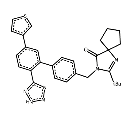 CCCCC1=NC2(CCCC2)C(=O)N1Cc1ccc(-c2cc(-c3ccsc3)ccc2-c2nn[nH]n2)cc1